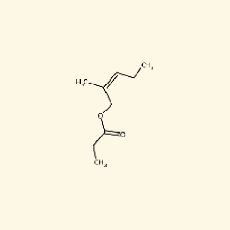 CCC=C(C)COC(=O)CC